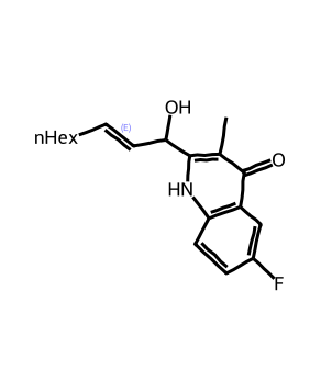 CCCCCC/C=C/C(O)c1[nH]c2ccc(F)cc2c(=O)c1C